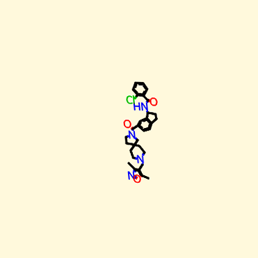 Cc1noc(C)c1CN1CCC2(CC1)CCN(C(=O)c1ccc3c(c1)C(NC(=O)c1ccccc1Cl)CC3)C2